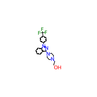 OCCN1CCN(c2nn(-c3ccc(C(F)(F)F)cc3)c3ccccc23)CC1